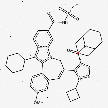 COc1ccc2c(c1)C=C(c1c(C(=O)N3C4CCCC3COC4)cnn1C1CCC1)Cn1c-2c(C2CCCCC2)c2ccc(C(=O)NS(=O)(=O)C(C)C)cc21